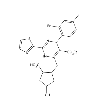 CCOC(=O)C1=C(CC2CC(O)CC2C(=O)O)NC(c2nccs2)=NC1c1ccc(C)cc1Br